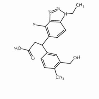 CCn1nnc2c(F)c(C(CC(=O)O)c3ccc(C)c(CO)c3)ccc21